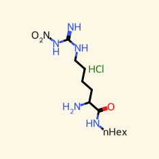 CCCCCCNC(=O)C(N)CCCCNC(=N)N[N+](=O)[O-].Cl